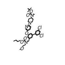 CCCCOC(=O)N(CCOC)Cc1cc(Oc2ccc(N3CCC(N(C)C(=O)OC(C)(C)C)CC3)nc2)cc(-c2cc(Cl)cc(Cl)c2)c1